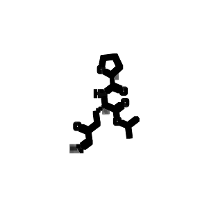 CC(C)OC(=O)[C@H](CCC(=O)C=N)NC(=O)[C@@H]1CCCO1